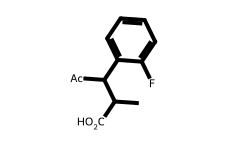 CC(=O)C(c1ccccc1F)C(C)C(=O)O